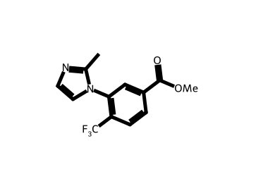 COC(=O)c1ccc(C(F)(F)F)c(-n2ccnc2C)c1